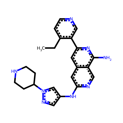 CCc1ccncc1-c1cc2cc(Nc3cnn(C4CCNCC4)c3)ncc2c(N)n1